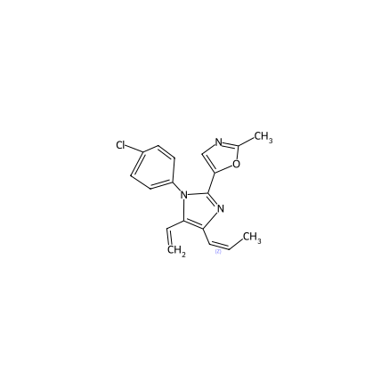 C=Cc1c(/C=C\C)nc(-c2cnc(C)o2)n1-c1ccc(Cl)cc1